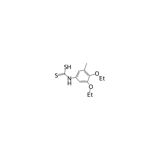 CCOc1cc(NC(=S)S)cc(C)c1OCC